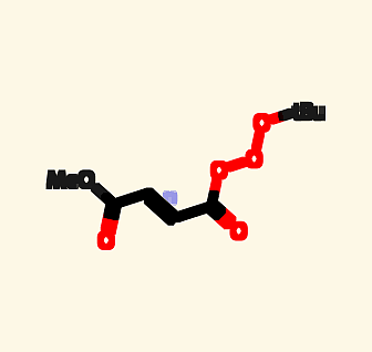 COC(=O)/C=C/C(=O)OOOC(C)(C)C